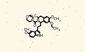 CCOc1cc2c(cc1OC)CC(C)N(C(=O)N1CCOCC1)C2CCc1c[nH]c2ccc(OC)cc12